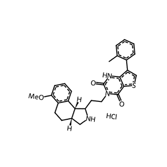 COc1cccc2c1CC[C@H]1CNC(CCn3c(=O)[nH]c4c(-c5ccccc5C)csc4c3=O)[C@@H]21.Cl